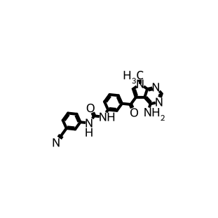 Cn1cc(C(=O)c2cccc(NC(=O)Nc3cccc(C#N)c3)c2)c2c(N)ncnc21